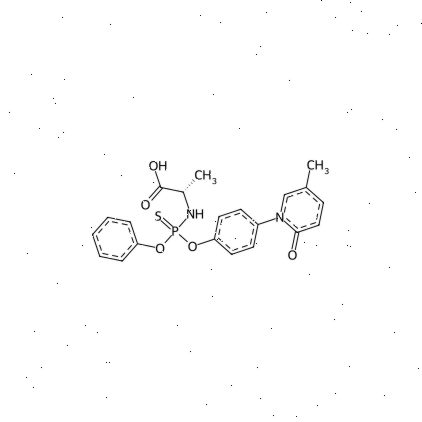 Cc1ccc(=O)n(-c2ccc(OP(=S)(N[C@@H](C)C(=O)O)Oc3ccccc3)cc2)c1